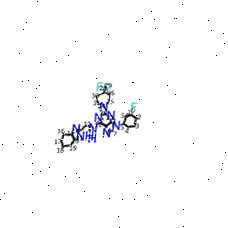 Fc1cccc(-n2cnc3c(NCc4nc5ccccc5[nH]4)nc(N4CCC(F)(F)CC4)nc32)c1